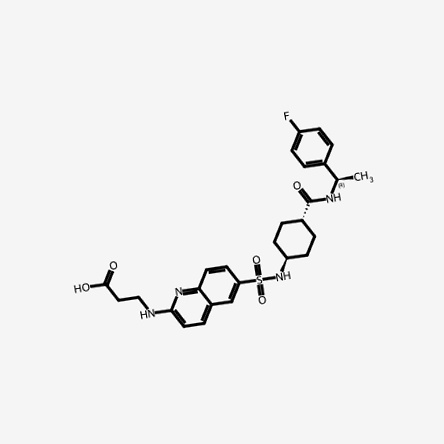 C[C@@H](NC(=O)[C@H]1CC[C@H](NS(=O)(=O)c2ccc3nc(NCCC(=O)O)ccc3c2)CC1)c1ccc(F)cc1